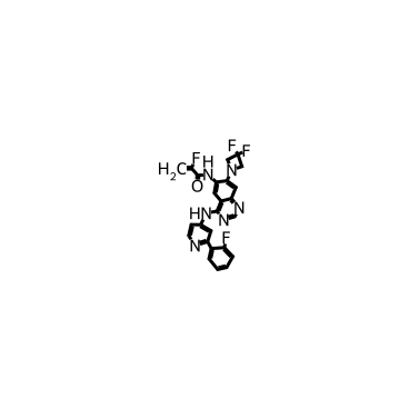 C=C(F)C(=O)Nc1cc2c(Nc3ccnc(-c4ccccc4F)c3)ncnc2cc1N1CC(F)(F)C1